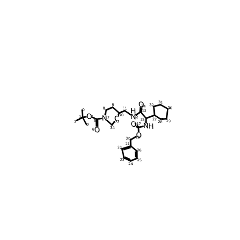 CC(C)(C)OC(=O)N1CCC(CNC(=O)C(NC(=O)OCc2ccccc2)C2CCCCC2)CC1